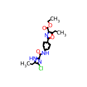 CCOC(=O)c1nc(-c2ccc(NC(=O)c3nc(Cl)c(CC)[nH]3)cc2)oc1CC